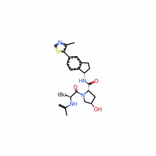 C=C(C)N[C@H](C(=O)N1C[C@H](O)C[C@H]1C(=O)N[C@H]1CCc2cc(-c3scnc3C)ccc21)C(C)(C)C